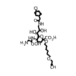 C#CCOCCCCCCO[C@]1(C(=O)O)C[C@H](O)[C@@H](NC(=O)CN)[C@H]([C@H](O)[C@H](O)CNC(=O)Cc2ccc(Cl)cc2)O1